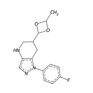 CC1OC(C2CNc3cnn(-c4ccc(F)cc4)c3C2)O1